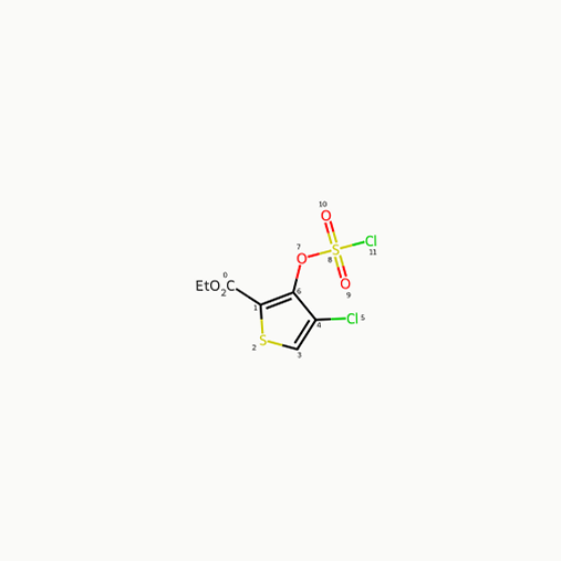 CCOC(=O)c1scc(Cl)c1OS(=O)(=O)Cl